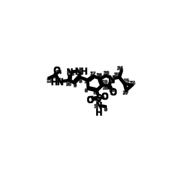 CNS(=O)(=O)c1cc(-c2cc(NC(C)=O)n[nH]2)cc2c1C(=O)N(C(C)C1CC1)C2